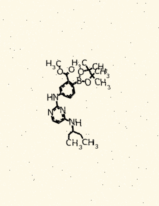 CCC(CC)Nc1ccnc(Nc2ccc(B3OC(C)(C)C(C)(C)O3)c(C(=O)OC)c2)n1